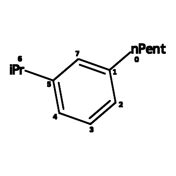 CCCCCc1cccc(C(C)C)c1